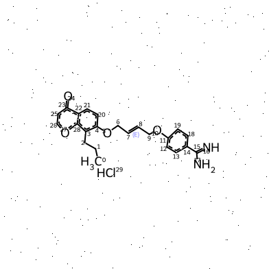 CCCc1c(OC/C=C/COc2ccc(C(=N)N)cc2)ccc2c(=O)ccoc12.Cl